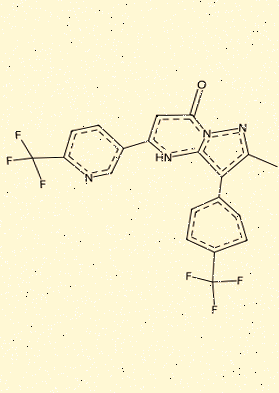 Cc1nn2c(=O)cc(-c3ccc(C(F)(F)F)nc3)[nH]c2c1-c1ccc(C(F)(F)F)cc1